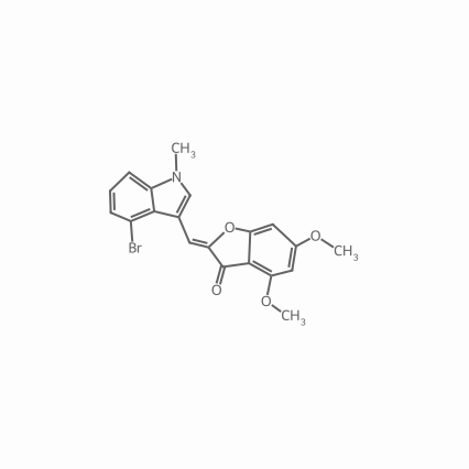 COc1cc(OC)c2c(c1)OC(=Cc1cn(C)c3cccc(Br)c13)C2=O